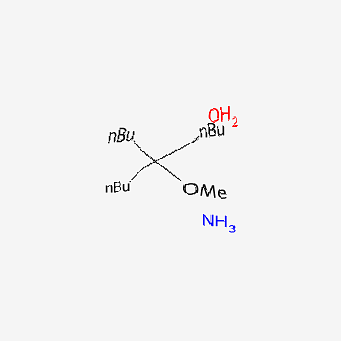 CCCCC(CCCC)(CCCC)OC.N.O